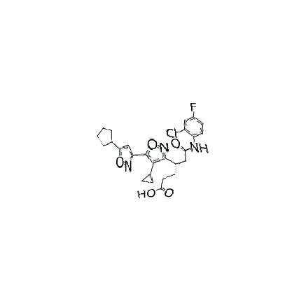 O=C(O)CC[C@@H](CC(=O)Nc1ccc(F)cc1Cl)c1noc(-c2cc(C3CCCC3)on2)c1C1CC1